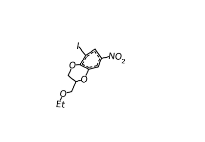 CCOCC1COc2c(I)cc([N+](=O)[O-])cc2O1